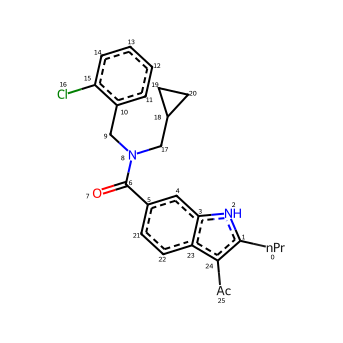 CCCc1[nH]c2cc(C(=O)N(Cc3ccccc3Cl)CC3CC3)ccc2c1C(C)=O